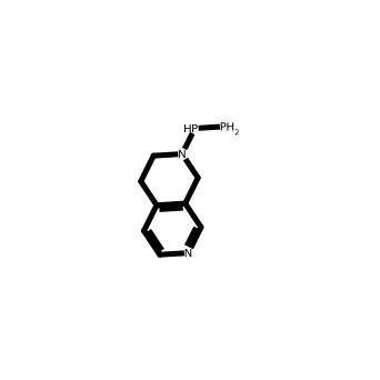 PPN1CCc2ccncc2C1